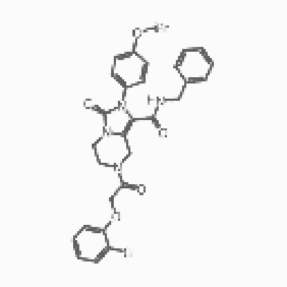 CC(C)Oc1ccc(-n2c(C(=O)NCc3ccccc3)c3n(c2=O)CCN(C(=O)COc2ccccc2Cl)C3)cc1